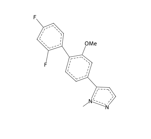 COc1cc(-c2ccnn2C)ccc1-c1ccc(F)cc1F